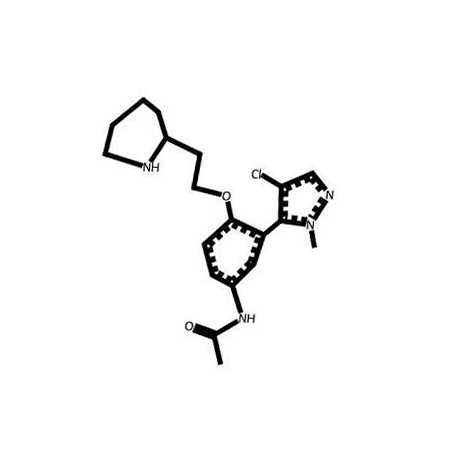 CC(=O)Nc1ccc(OCCC2CCCCN2)c(-c2c(Cl)cnn2C)c1